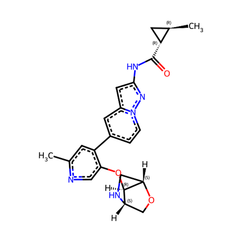 Cc1cc(-c2ccn3nc(NC(=O)[C@@H]4C[C@H]4C)cc3c2)c(O[C@@H]2[C@@H]3CO[C@H]2CN3)cn1